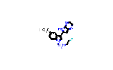 Cn1cc(-c2cc3nccnc3[nH]2)c2cc(C(=O)O)ccc21.NCCF